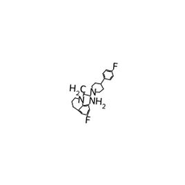 C=C(CN1CCC(c2ccc(F)cc2)CC1)N1CCCc2cc(F)cc(N)c21